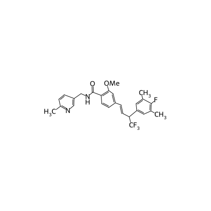 COc1cc(/C=C/C(c2cc(C)c(F)c(C)c2)C(F)(F)F)ccc1C(=O)NCc1ccc(C)nc1